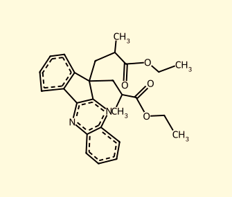 CCOC(=O)C(C)CC1(CC(C)C(=O)OCC)c2ccccc2-c2nc3ccccc3nc21